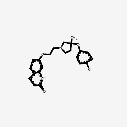 CC1(Oc2ccc(Cl)cc2)CCN(CCOc2ccc3ccc(=O)[nH]c3c2)C1